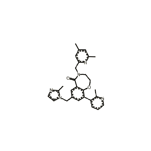 Cc1cc(C)nc(CN2CCOc3c(cc(Cn4ccnc4C)cc3-c3cccnc3C)C2=O)c1